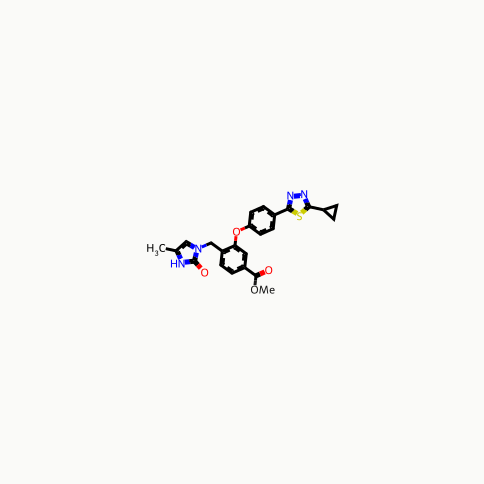 COC(=O)c1ccc(Cn2cc(C)[nH]c2=O)c(Oc2ccc(-c3nnc(C4CC4)s3)cc2)c1